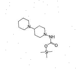 C[Si](C)(C)OC(=O)NN1CCC(N2CCCCC2)CC1